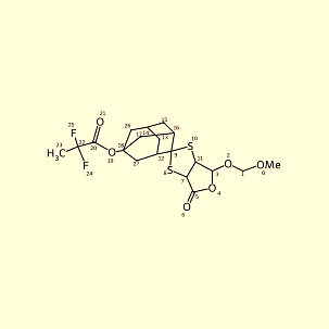 COCOC1OC(=O)C2SC3(SC12)C1CC2CC3CC(OC(=O)C(C)(F)F)(C2)C1